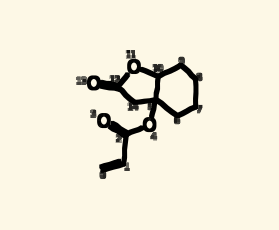 C=CC(=O)OC12CCCCC1OC(=O)C2